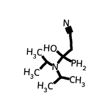 CC(C)N(C(C)C)C(O)(P)CC#N